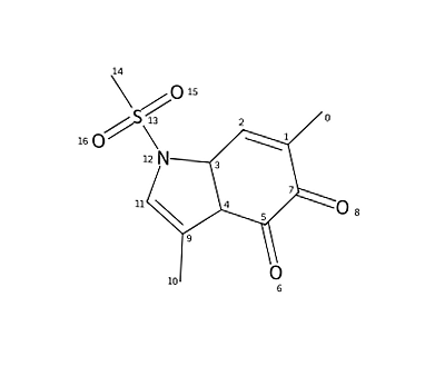 CC1=CC2C(C(=O)C1=O)C(C)=CN2S(C)(=O)=O